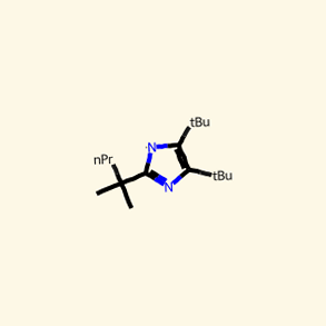 CCCC(C)(C)C1=NC(C(C)(C)C)=C(C(C)(C)C)[N]1